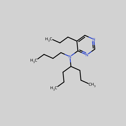 CCCCN(c1ncncc1CCC)C(CCC)CCC